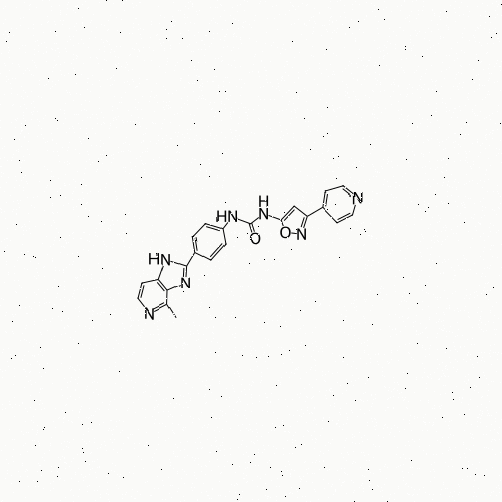 Cc1nccc2[nH]c(-c3ccc(NC(=O)Nc4cc(-c5ccncc5)no4)cc3)nc12